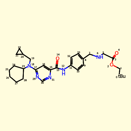 CC(C)(C)COC(=O)CNCc1ccc(NC(=O)c2cc(N(CC3CC3)C3CCCCC3)ncn2)cc1